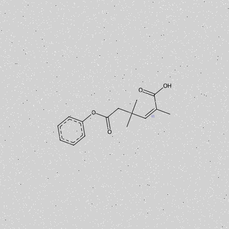 C/C(=C/C(C)(C)CC(=O)Oc1ccccc1)C(=O)O